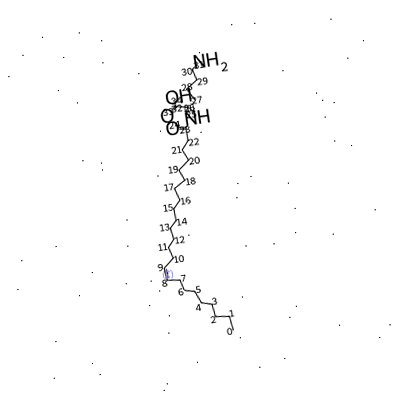 CCCCCCCC/C=C\CCCCCCCCCCCCCC(=O)N[C@@H](CCCCN)C(=O)O